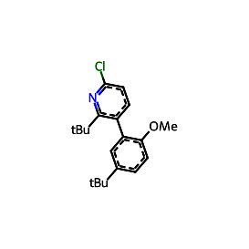 COc1ccc(C(C)(C)C)cc1-c1ccc(Cl)nc1C(C)(C)C